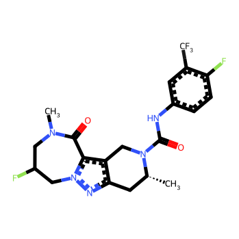 C[C@@H]1Cc2nn3c(c2CN1C(=O)Nc1ccc(F)c(C(F)(F)F)c1)C(=O)N(C)CC(F)C3